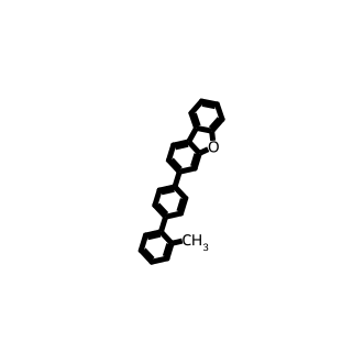 Cc1ccccc1-c1ccc(-c2ccc3c(c2)oc2ccccc23)cc1